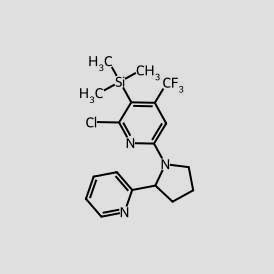 C[Si](C)(C)c1c(C(F)(F)F)cc(N2CCCC2c2ccccn2)nc1Cl